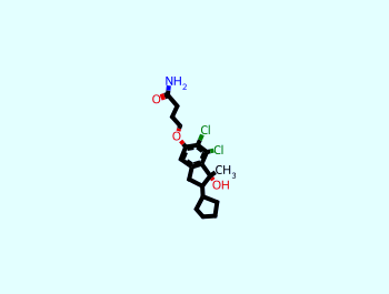 CC1(O)c2c(cc(OCCCC(N)=O)c(Cl)c2Cl)CC1C1CCCC1